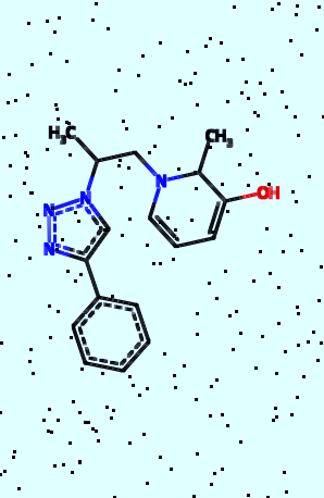 CC1C(O)=CC=CN1CC(C)n1cc(-c2ccccc2)nn1